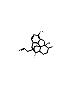 C=CCN1CCC23c4c5ccc(C)c4O[C@@H]2C(F)CCC3[C@@H]1C5